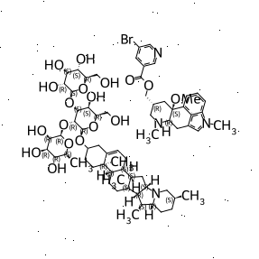 CO[C@]12C[C@@H](COC(=O)c3cncc(Br)c3)CN(C)[C@@H]1Cc1cn(C)c3cccc2c13.C[C@H]1CC[C@@H]2[C@@H](C)[C@H]3[C@H](C[C@H]4[C@@H]5CC=C6CC(O[C@@H]7O[C@H](CO)[C@H](O)[C@H](O[C@@H]8O[C@H](CO)[C@@H](O)[C@H](O)[C@H]8O)[C@H]7O[C@H]7O[C@@H](C)[C@H](O)[C@@H](O)[C@H]7O)CC[C@]6(C)[C@H]5CC[C@]34C)N2C1